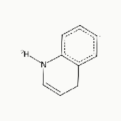 [2H]N1C=CCc2c[c]ccc21